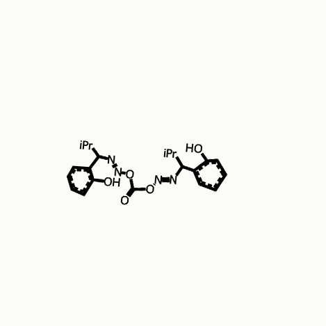 CC(C)C(N=NOC(=O)ON=NC(c1ccccc1O)C(C)C)c1ccccc1O